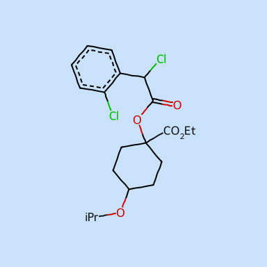 CCOC(=O)C1(OC(=O)C(Cl)c2ccccc2Cl)CCC(OC(C)C)CC1